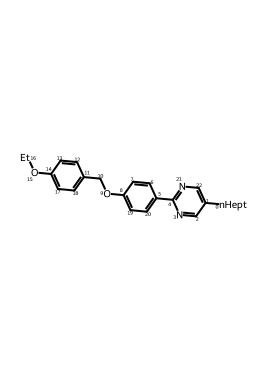 CCCCCCCc1cnc(-c2ccc(OCc3ccc(OCC)cc3)cc2)nc1